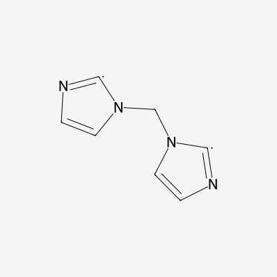 [c]1nccn1Cn1[c]ncc1